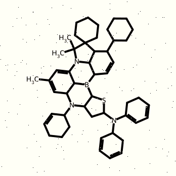 CC1=CC2C3B(C4C=CC(C5CCCCC5)C5C4N(C3=C1)C(C)(C)C51CCCCC1)C1SC(N(C3=CC=CCC3)C3C=CC=CC3)CC1N2C1C=CCCC1